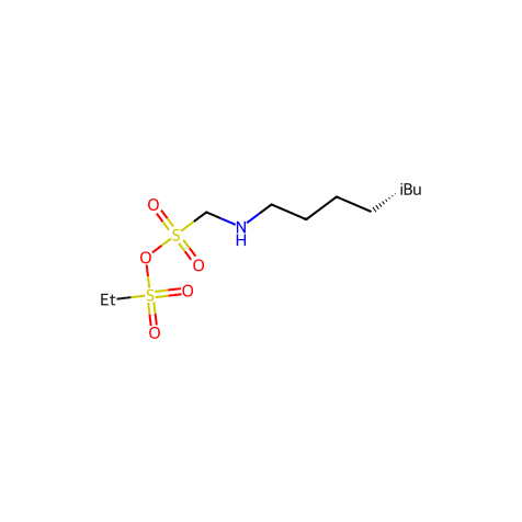 CC[C@@H](C)CCCCNCS(=O)(=O)OS(=O)(=O)CC